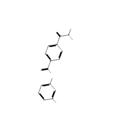 CCC(CC)C(=O)c1ccc(C(=O)Oc2cccc(OC(C)=O)c2)cc1